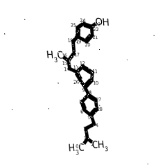 CC(C)CCc1ccc(-c2cccc(CC(C)CCc3ccc(O)cc3)c2)cc1